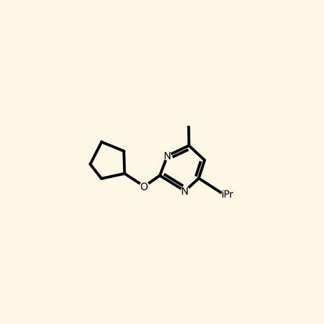 Cc1cc(C(C)C)nc(OC2CCCC2)n1